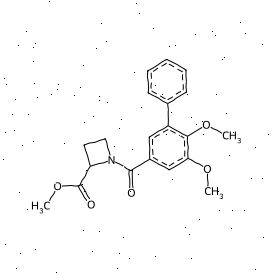 COC(=O)C1CCN1C(=O)c1cc(OC)c(OC)c(-c2ccccc2)c1